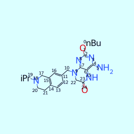 CCCCOc1nc(N)c2c(n1)N(Cc1ccc3c(c1)CN(C(C)C)CC3)CC(=O)N2